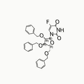 O=c1[nH]c(=O)n([C@@H]2O[C@H](COCc3ccccc3)[C@@H](OCc3ccccc3)[C@H]2OCc2ccccc2)cc1F